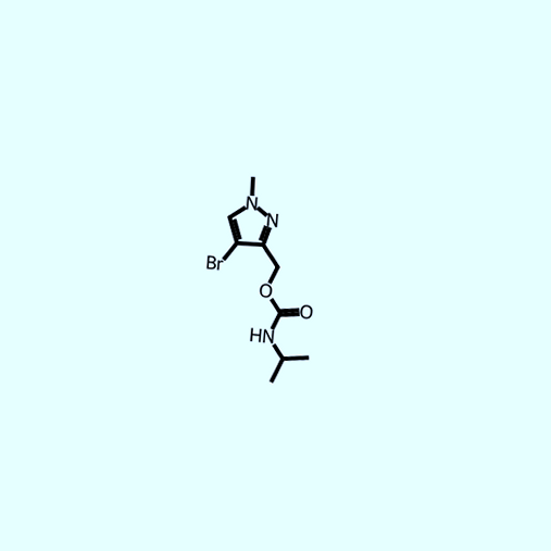 CC(C)NC(=O)OCc1nn(C)cc1Br